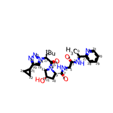 CC(NC(=O)CNC(=O)[C@@H]1C[C@@H](O)CN1C(=O)[C@@H](n1cc(C2CC2)nn1)C(C)(C)C)c1ccccn1